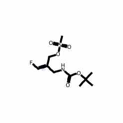 CC(C)(C)OC(=O)NC/C(=C/F)COS(C)(=O)=O